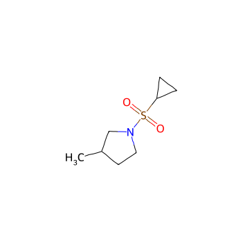 CC1CCN(S(=O)(=O)C2CC2)C1